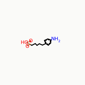 Nc1ccc(CCCCCS(=O)(=O)O)cc1